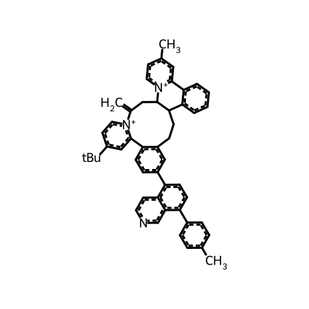 C=C1CC2C(CCc3cc(-c4ccc(-c5ccc(C)cc5)c5cnccc45)ccc3-c3cc(C(C)(C)C)cc[n+]31)c1ccccc1-c1cc(C)cc[n+]12